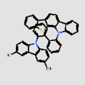 N#Cc1ccc2c(c1)c1cc(C#N)ccc1n2-c1ccccc1-c1ccccc1-n1c2ccccc2c2ccc3c4ccccc4sc3c21